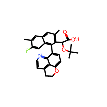 Cc1cc2cc(C)c(C(OC(C)(C)C)C(=O)O)c(-c3ccc4c5c(ccnc35)CCO4)c2cc1F